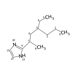 CCCC(CC)CC(C)c1ncc[nH]1